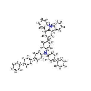 c1ccc(-c2ccc(-c3ccc(N(c4ccc(-c5ccccc5)cc4)c4ccc(-c5cc6c7ccccc7n7c8ccccc8c(c5)c67)cc4)cc3)cc2)cc1